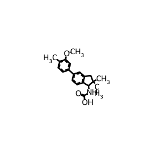 COc1cc(-c2ccc3c(c2)CC(C)(C)C3NC(=O)O)ccc1C